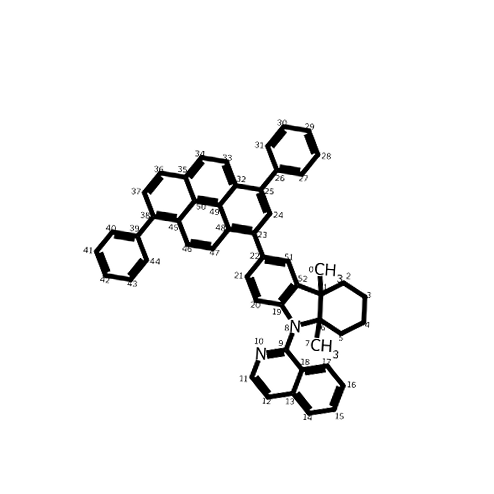 CC12CCCCC1(C)N(c1nccc3ccccc13)c1ccc(-c3cc(-c4ccccc4)c4ccc5ccc(-c6ccccc6)c6ccc3c4c56)cc12